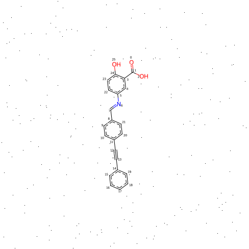 O=C(O)c1cc(/N=C/c2ccc(C#Cc3ccccc3)cc2)ccc1O